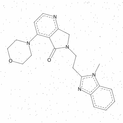 Cn1c(CCN2Cc3nccc(N4CCOCC4)c3C2=O)nc2ccccc21